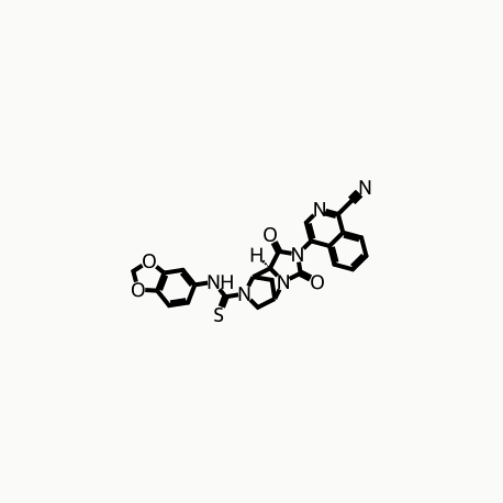 N#Cc1ncc(N2C(=O)[C@@H]3C4CC(CN4C(=S)Nc4ccc5c(c4)OCO5)N3C2=O)c2ccccc12